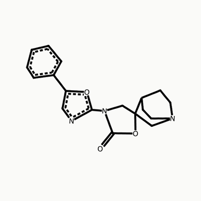 O=C1OC2(CN3CCC2CC3)CN1c1ncc(-c2ccccc2)o1